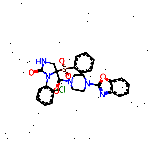 O=C1NCC(C(=O)N2CCN(c3nc4ccccc4o3)CC2)(S(=O)(=O)c2ccccc2)N1c1ccccc1Cl